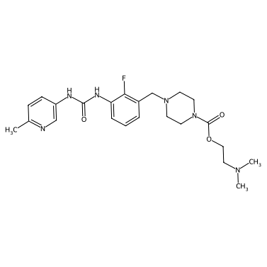 Cc1ccc(NC(=O)Nc2cccc(CN3CCN(C(=O)OCCN(C)C)CC3)c2F)cn1